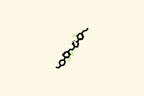 CCCC1=CC=C(C2CCC(CCc3ccc(C4CCC(CC)CC4)c(F)c3F)CC2)C(F)C1